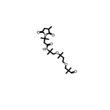 CC1CC(=O)N(C(C)(C)CC(=O)NC(C)(C)COC(C)(C)CCOCC(C)(C)C=O)C1=O